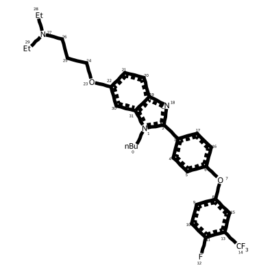 CCCCn1c(-c2ccc(Oc3ccc(F)c(C(F)(F)F)c3)cc2)nc2ccc(OCCCN(CC)CC)cc21